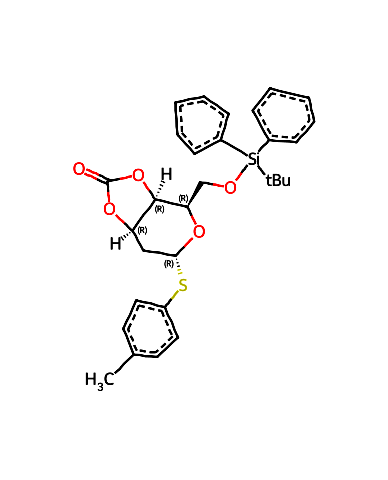 Cc1ccc(S[C@@H]2C[C@H]3OC(=O)O[C@H]3[C@@H](CO[Si](c3ccccc3)(c3ccccc3)C(C)(C)C)O2)cc1